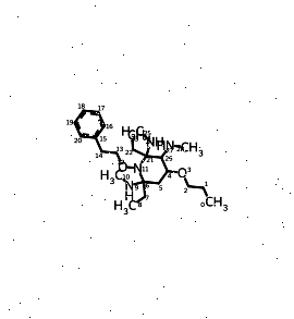 CCCOC1CC(CC)(NC)N(OCCc2ccccc2)C(CC)(NC)C1NC